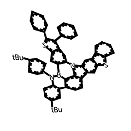 CC(C)(C)c1ccc(N2B3c4cc5sc(-c6ccccc6)c(-c6ccccc6)c5cc4-n4c5cc6c(cc5c5ccc(c3c54)-c3cc(C(C)(C)C)ccc32)sc2ccccc26)cc1